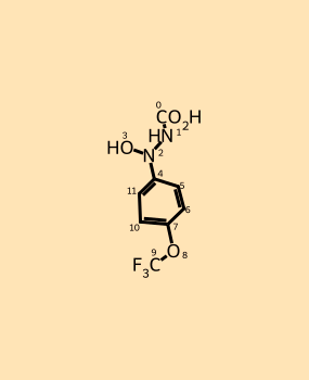 O=C(O)NN(O)c1ccc(OC(F)(F)F)cc1